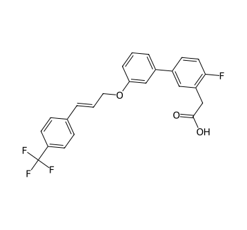 O=C(O)Cc1cc(-c2cccc(OCC=Cc3ccc(C(F)(F)F)cc3)c2)ccc1F